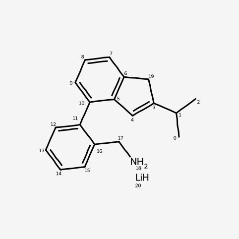 CC(C)C1=Cc2c(cccc2-c2ccccc2CN)C1.[LiH]